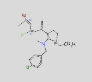 C=C(/C=C(F)\C=C(/C)Br)C1=C(N(C)Cc2ccc(Cl)cc2)[C@@H](CC(=O)O)CC1